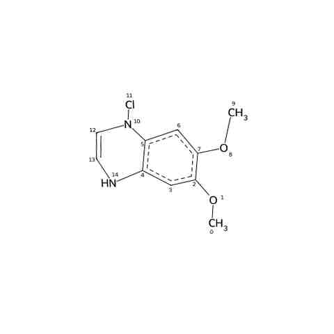 COc1cc2c(cc1OC)N(Cl)C=CN2